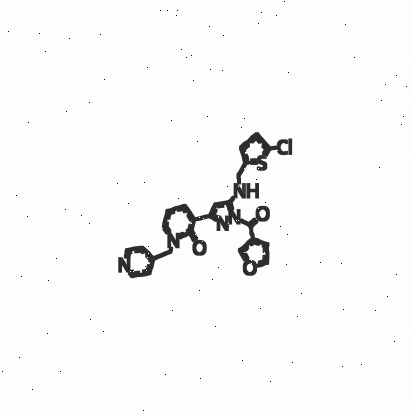 O=C(c1ccoc1)n1nc(-c2cccn(Cc3ccncc3)c2=O)cc1NCc1ccc(Cl)s1